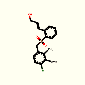 COc1c(Br)ccc(CS(=O)(=O)c2ccccc2C=CCO)c1C